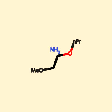 CCCOCCOC.N